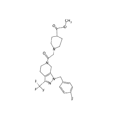 COC(=O)C1CCN(CC(=O)N2CCc3c(C(F)(F)F)nn(Cc4ccc(F)cc4)c3C2)CC1